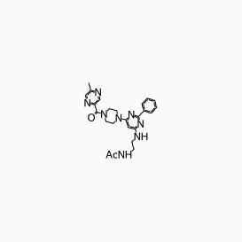 CC(=O)NCCNc1cc(N2CCN(C(=O)c3cnc(C)cn3)CC2)nc(-c2ccccc2)n1